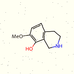 COc1ccc2c(c1O)CNCC2